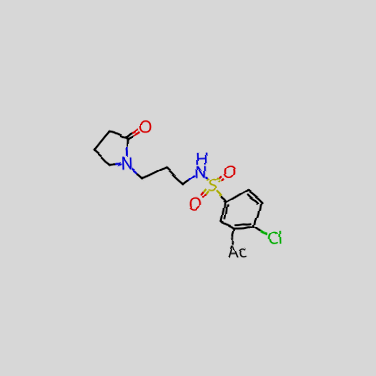 CC(=O)c1cc(S(=O)(=O)NCCCN2CCCC2=O)ccc1Cl